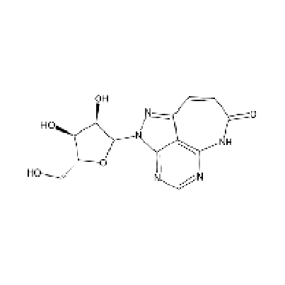 O=C1C=Cc2nn(C3O[C@H](CO)[C@@H](O)[C@H]3O)c3ncnc(c23)N1